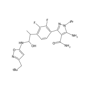 CC(c1ccc(-c2nn(C(C)C)c(N)c2C(N)=O)c(F)c1F)C(O)Nc1cc(CC(C)(C)C)no1